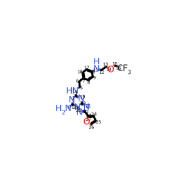 Nc1nc(NCCc2ccc(NCCOCC(F)(F)F)cc2)nc2nc(-c3ccco3)nn12